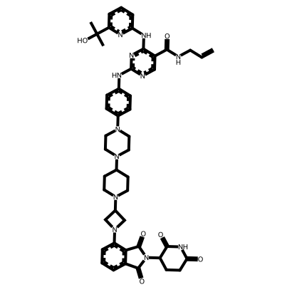 C=CCNC(=O)c1cnc(Nc2ccc(N3CCN(C4CCN(C5CN(c6cccc7c6C(=O)N(C6CCC(=O)NC6=O)C7=O)C5)CC4)CC3)cc2)nc1Nc1cccc(C(C)(C)O)n1